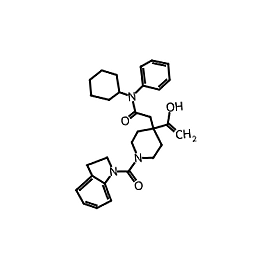 C=C(O)C1(CC(=O)N(c2ccccc2)C2CCCCC2)CCN(C(=O)N2CCc3ccccc32)CC1